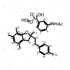 CC(=O)Nc1cccc([As](=O)(O)OO)c1.Cc1cc(C)c2c(c1C)OC(C)(CCc1ccc(F)cc1)C2